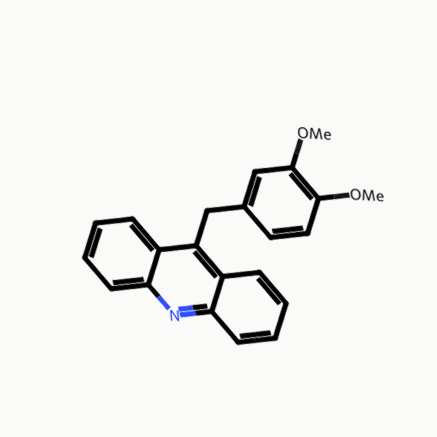 COc1ccc(Cc2c3ccccc3nc3ccccc23)cc1OC